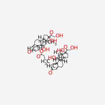 CCCC(=O)OC1CC(=O)C=C2CC[C@@H]3[C@H]([C@@H](O)C[C@@]4(C)[C@H]3CC[C@]4(O)C(=O)CO)[C@]21C.C[C@]12CCC(=O)C=C1CC[C@@H]1[C@@H]2[C@@H](O)C[C@@]2(C)[C@H]1CC[C@]2(O)C(=O)CO